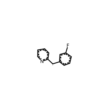 Fc1cccc([CH]c2ccccn2)c1